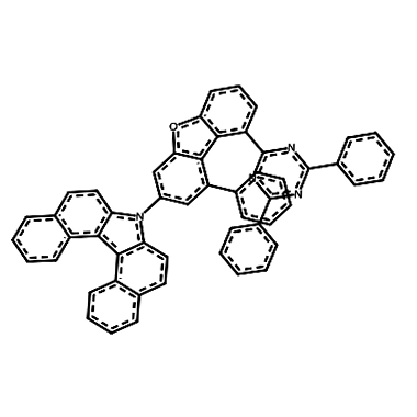 c1ccc(-c2nc(-c3ccccc3)nc(-c3cccc4oc5cc(-n6c7ccc8ccccc8c7c7c8ccccc8ccc76)cc(-c6ccccc6)c5c34)n2)cc1